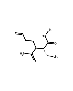 C=CCCC(C(N)=O)[C@@H](CC(C)(C)C)C(=O)NCC